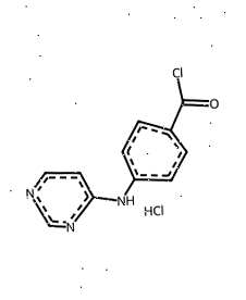 Cl.O=C(Cl)c1ccc(Nc2ccncn2)cc1